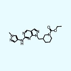 CCOC(=O)N1CCCC(Cn2ncc3cnc(Nc4cnn(C)c4)nc32)C1